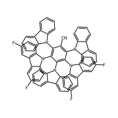 N#Cc1c(-n2c3ccccc3c3ccccc32)c(-n2c3ccc(F)cc3c3cc(F)ccc32)c(-n2c3ccccc3c3ccccc32)c(-n2c3ccc(F)cc3c3cc(F)ccc32)c1-n1c2ccccc2c2ccccc21